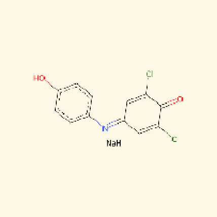 O=C1C(Cl)=CC(=Nc2ccc(O)cc2)C=C1Cl.[NaH]